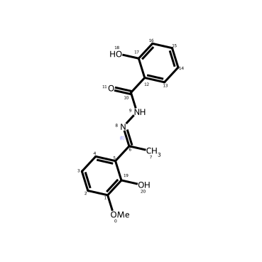 COc1cccc(/C(C)=N/NC(=O)c2ccccc2O)c1O